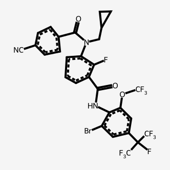 N#Cc1ccc(C(=O)N(CC2CC2)c2cccc(C(=O)Nc3c(Br)cc(C(F)(C(F)(F)F)C(F)(F)F)cc3OC(F)(F)F)c2F)cc1